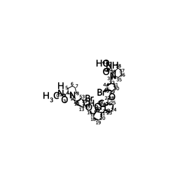 CNC(=O)[C@@H]1CCCCN1Cc1ccc(OCc2cccc(-c3cccc(COc4ccc(CN5CCCC[C@H]5C(=O)NO)cc4Br)c3C)c2C)c(Br)c1